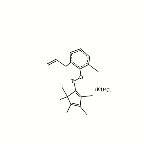 C=CCc1cccc(C)c1[O][Ti][C]1=C(C)C(C)=C(C)C1(C)C.Cl.Cl